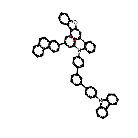 c1cc(-c2ccc(N(c3cccc(-c4ccc5c(ccc6ccccc65)c4)c3)c3ccccc3-c3ccc4c(c3)oc3ccccc34)cc2)cc(-c2ccc(-n3c4ccccc4c4ccccc43)cc2)c1